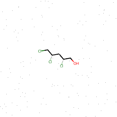 OC[C@H](Cl)C[C@H](Cl)CCl